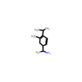 CC1=C(C(C)C)C=CC(C(C)N)C1